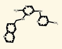 Cc1ccnc(Nc2cnc(N)c(NCc3ccc4ncccc4c3)n2)c1